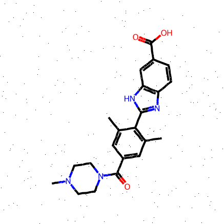 Cc1cc(C(=O)N2CCN(C)CC2)cc(C)c1-c1nc2ccc(C(=O)O)cc2[nH]1